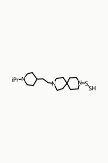 CC(C)N1CCC(CCN2CCC3(CC2)CCN(SS)CC3)CC1